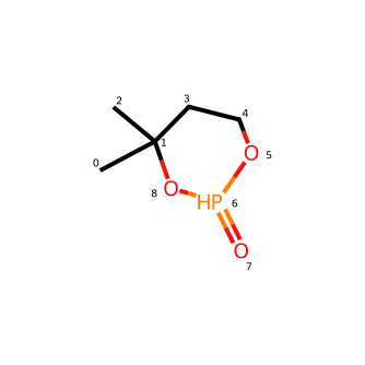 CC1(C)CCO[PH](=O)O1